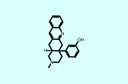 CN1CCC2(c3cccc(O)c3)Cc3nc4ccccc4cc3C[C@H]2C1